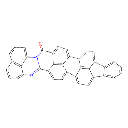 O=c1c2ccc3c4ccc5c6c(ccc(c7ccc(c2c37)c2nc3cccc7cccc(c73)n12)c64)-c1ccccc1-5